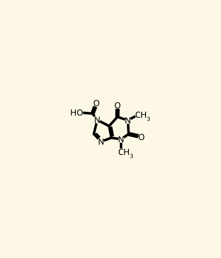 Cn1c(=O)c2c(ncn2C(=O)O)n(C)c1=O